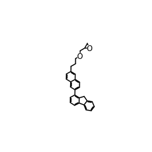 c1ccc2c(c1)Cc1c(-c3ccc4cc(CCCOCC5CO5)ccc4c3)cccc1-2